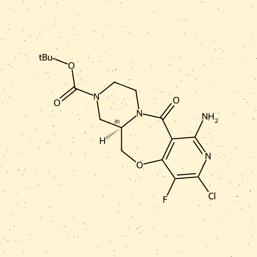 CC(C)(C)OC(=O)N1CCN2C(=O)c3c(N)nc(Cl)c(F)c3OC[C@H]2C1